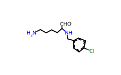 NCCCCC([C]=O)NCc1ccc(Cl)cc1